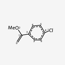 C=C(OC)c1ccc(Cl)cc1